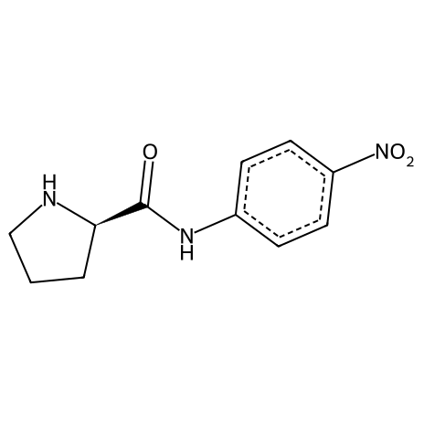 O=C(Nc1ccc([N+](=O)[O-])cc1)[C@H]1CCCN1